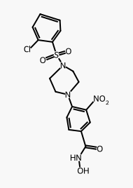 O=C(NO)c1ccc(N2CCN(S(=O)(=O)c3ccccc3Cl)CC2)c([N+](=O)[O-])c1